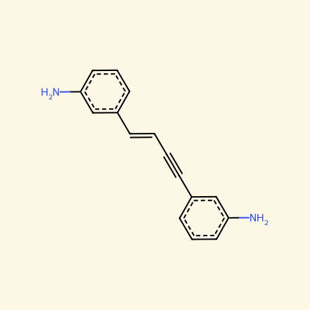 Nc1cccc(C#C/C=C/c2cccc(N)c2)c1